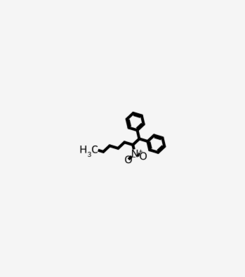 CCCCCC(C(c1ccccc1)c1ccccc1)[N+](=O)[O-]